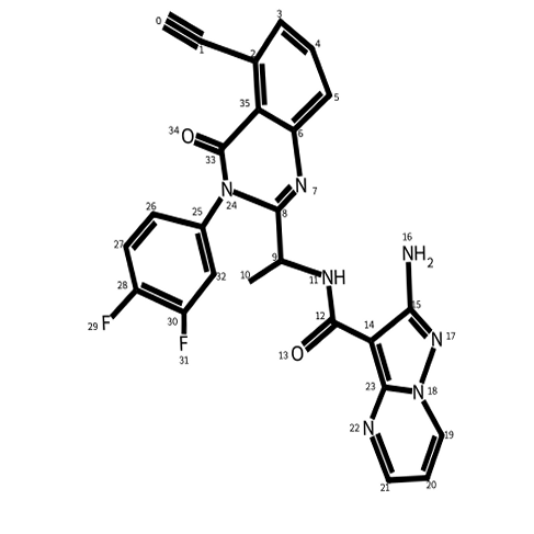 C#Cc1cccc2nc(C(C)NC(=O)c3c(N)nn4cccnc34)n(-c3ccc(F)c(F)c3)c(=O)c12